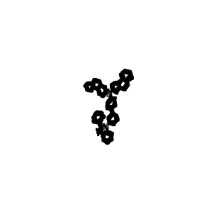 c1ccc(-c2nc3ccccc3n2-c2cccc(-c3ccc(N(c4ccc5c(ccc6ccccc65)c4)c4ccc5c(ccc6ccccc65)c4)cc3)c2)cc1